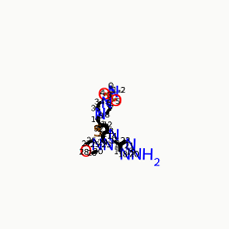 CN(C)S(=O)(=O)N1CCN(Cc2cc3nc(-c4cnc(N)nc4)nc(N4CCOCC4)c3s2)CC1